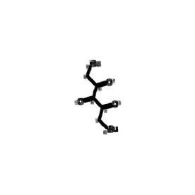 CCC(C)CC(=O)C(=O)C(=O)CC(C)CC